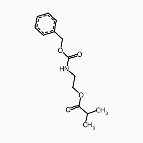 CC(C)C(=O)OCCNC(=O)OCc1ccccc1